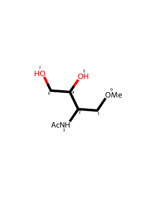 COCC(NC(C)=O)C(O)CO